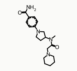 CN(C(=O)CN1CCCCC1)C1CCN(c2ccc(C(N)=O)cc2)C1